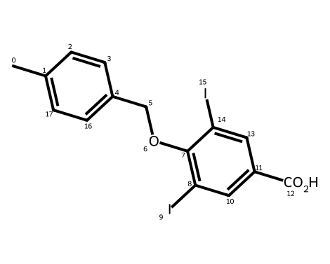 Cc1ccc(COc2c(I)cc(C(=O)O)cc2I)cc1